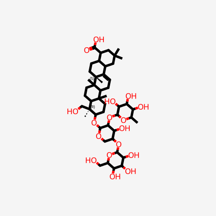 CC1OC(OC2C(OC3CCC4(C)C5CC=C6C7CC(C)(C)CC(C(=O)O)C7CC[C@@]6(C)C5(C)CCC4[C@]3(C)CO)OCC(OC3OC(CO)C(O)C(O)C3O)C2O)C(O)C(O)C1O